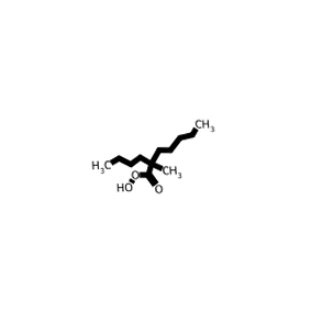 CCCCCC(C)(CCCC)C(=O)OO